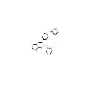 Cc1ccc(Cn2c(-c3ccc(Oc4ccccc4)cc3)cc3cccc(C)c3c2=O)c(C)c1